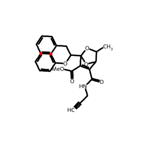 C#CCNC(=O)C1=C(C(=O)OC)C2(C(Cc3ccccc3)Oc3ccccc3)OC(C)C1O2